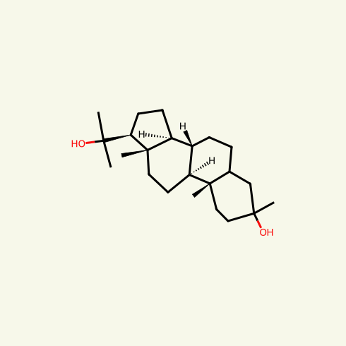 CC1(O)CC[C@@]2(C)C(CC[C@H]3[C@@H]4CC[C@H](C(C)(C)O)[C@@]4(C)CC[C@@H]32)C1